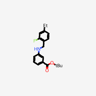 CCc1ccc(CNc2cccc(C(=O)OC(C)(C)C)c2)c(F)c1